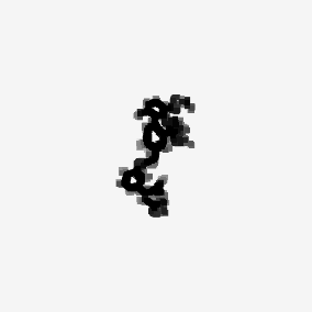 COc1ccc(F)c(-c2ccc(COc3cccc([C@H](CC(=O)O)C4CC4)c3)cc2C(C)(C)C)c1